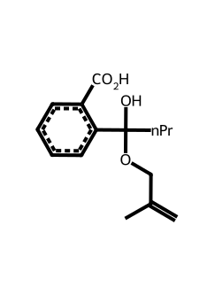 C=C(C)COC(O)(CCC)c1ccccc1C(=O)O